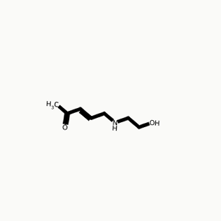 CC(=O)/C=C/CNCCO